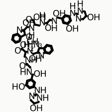 COC1C(C(O)NC(CNC(=O)CNC(O)c2cc(O)cc(NC3=NCC(O)CN3)c2)C(=O)O)=Nc2cccc(OC(=O)C(CNC(=O)CNC(O)c3cc(O)cc(NC4=NCC(O)CN4)c3)NC(O)C3=Nc4ccccc4C3N)c21